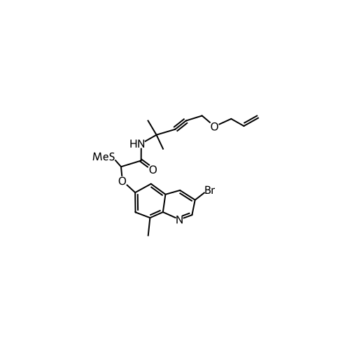 C=CCOCC#CC(C)(C)NC(=O)C(Oc1cc(C)c2ncc(Br)cc2c1)SC